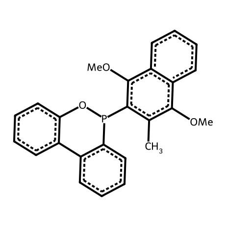 COc1c(C)c(P2Oc3ccccc3-c3ccccc32)c(OC)c2ccccc12